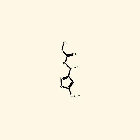 CCOC(=O)c1cc([C@@H](C)NC(=O)OC(C)(C)C)no1